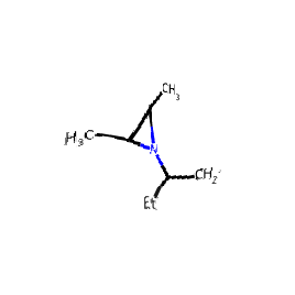 [CH2]C(CC)N1C(C)C1C